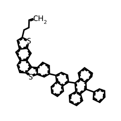 C=CCCc1cc2cc3ccc4sc5cc(-c6ccc(-c7c8ccccc8c(-c8ccccc8)c8ccccc78)c7ccccc67)ccc5c4c3cc2s1